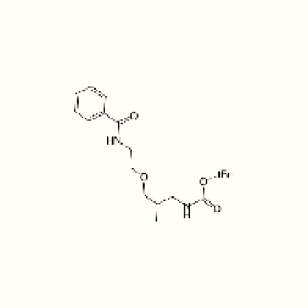 CC(CNC(=O)OC(C)(C)C)COCCNC(=O)c1ccccc1